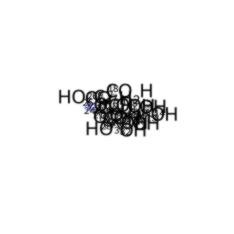 C[C@](OC(=O)[C@H](O)[C@@H](O)[C@@H](O)[C@H](O)CO)(OC(CC(=O)O)C(=O)O)[C@@H](OC(=O)/C=C\C(=O)O)[C@@H](O)[C@H](O)CO